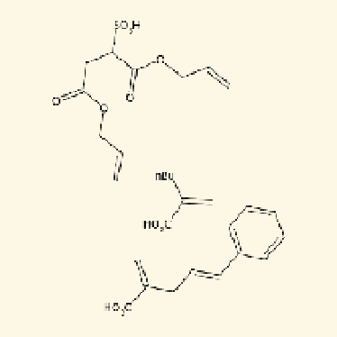 C=C(CC=Cc1ccccc1)C(=O)O.C=C(CCCC)C(=O)O.C=CCOC(=O)CC(C(=O)OCC=C)S(=O)(=O)O